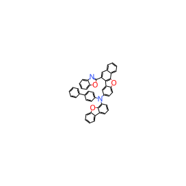 c1ccc(-c2ccc(N(c3ccc4oc5c6ccccc6cc(-c6nc7ccccc7o6)c5c4c3)c3cccc4c3oc3ccccc34)cc2)cc1